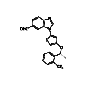 C[C@@H](Oc1csc(-n2cnc3ccc(C=O)cc32)c1)c1ccccc1C(F)(F)F